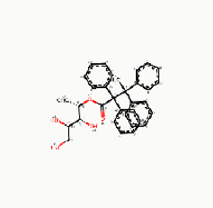 CC(c1ccccc1)(c1ccccc1)C(C(=O)O[C@@H](C=O)[C@@H](O)[C@H](O)CO)(c1ccccc1)c1ccccc1